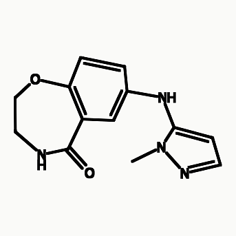 Cn1nccc1Nc1ccc2c(c1)C(=O)NCCO2